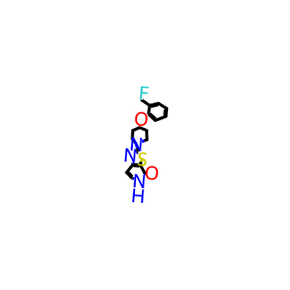 O=c1[nH]ccc2nc(N3CCC(Oc4ccccc4CF)CC3)sc12